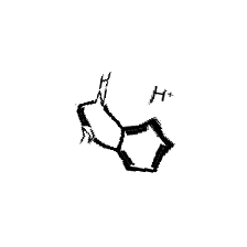 [H+].[c]1nc2ccccc2[nH]1